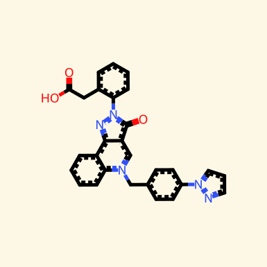 O=C(O)Cc1ccccc1-n1nc2c3ccccc3n(Cc3ccc(-n4cccn4)cc3)cc-2c1=O